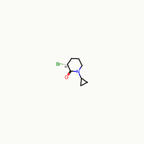 O=C1[C@H](Br)CCCN1C1CC1